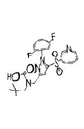 CC(C)(C)CN(Cc1cc(S(=O)(=O)c2cccnc2)n(-c2cc(F)ccc2F)n1)C(=O)O